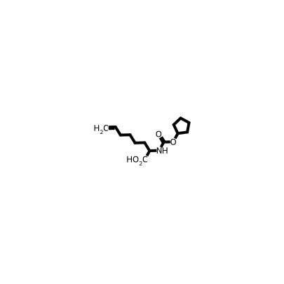 C=CCCCCC(NC(=O)OC1CCCC1)C(=O)O